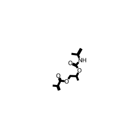 C=C(C)NC(=O)OC(C)COC(=O)C(=C)C